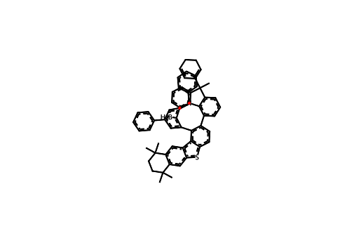 Bc1c2cc(-c3ccccc3)cc1N(c1ccccc1)c1c(cccc1C(C)(C1=CCCC=C1)c1ccccc1)-c1ccc3sc4cc5c(cc4c3c1-2)C(C)(C)CCC5(C)C